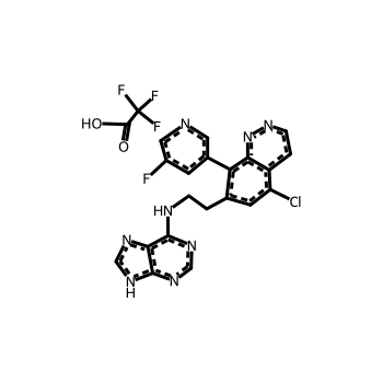 Fc1cncc(-c2c(CCNc3ncnc4[nH]cnc34)cc(Cl)c3ccnnc23)c1.O=C(O)C(F)(F)F